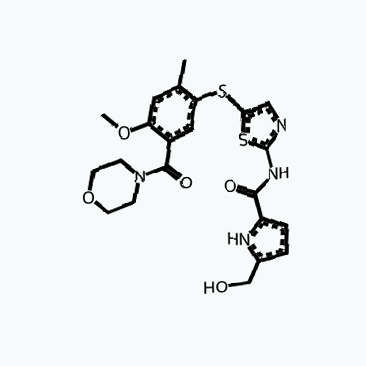 COc1cc(C)c(Sc2cnc(NC(=O)c3ccc(CO)[nH]3)s2)cc1C(=O)N1CCOCC1